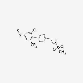 CS(=O)(=O)NCCc1ccc(-c2c(Cl)cc(N=S)cc2C(F)(F)F)cc1